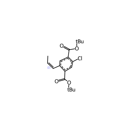 C/C=C\c1cc(C(=O)OC(C)(C)C)c(Cl)cc1C(=O)OC(C)(C)C